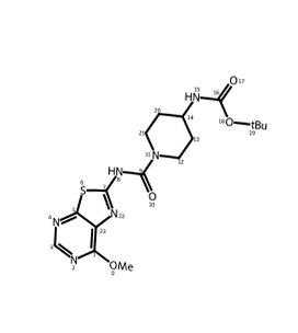 COc1ncnc2sc(NC(=O)N3CCC(NC(=O)OC(C)(C)C)CC3)nc12